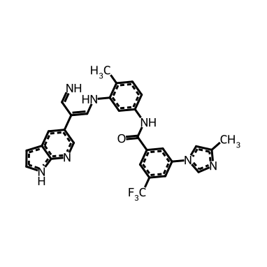 Cc1cn(-c2cc(C(=O)Nc3ccc(C)c(N/C=C(\C=N)c4cnc5[nH]ccc5c4)c3)cc(C(F)(F)F)c2)cn1